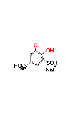 O=S(=O)(O)c1cc(O)c(O)c(S(=O)(=O)O)c1.[Fe].[NaH]